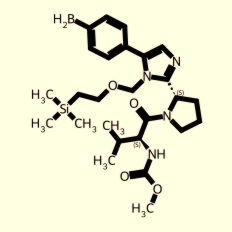 Bc1ccc(-c2cnc([C@@H]3CCCN3C(=O)[C@@H](NC(=O)OC)C(C)C)n2COCC[Si](C)(C)C)cc1